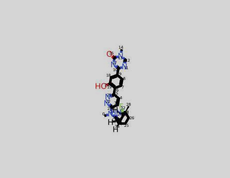 CN(c1ccc(-c2ccc(-c3ncn(C)c(=O)n3)cc2O)nn1)[C@H]1[C@@H]2CC[C@@](C)(NC2)[C@H]1F